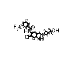 CC(C)(O)C1CC(N/C=C2/C=C(NC(=O)c3cccc(C(F)(F)F)n3)C(Cl)=CC2=N)C1